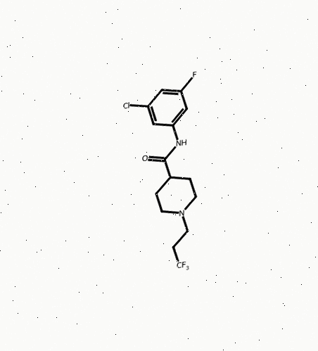 O=C(Nc1cc(F)cc(Cl)c1)C1CCN(CCC(F)(F)F)CC1